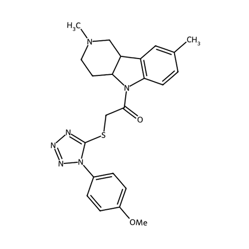 COc1ccc(-n2nnnc2SCC(=O)N2c3ccc(C)cc3C3CN(C)CCC32)cc1